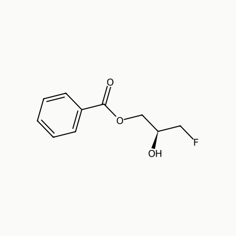 O=C(OC[C@H](O)CF)c1ccccc1